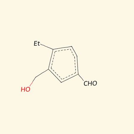 CCc1ccc(C=O)cc1CO